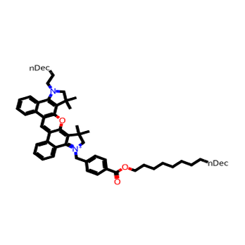 CCCCCCCCCCCCCCCCCCOC(=O)c1ccc(C[N+]2=c3c(c4c(c5ccccc35)=Cc3c(c5c(c6ccccc36)N(CCCCCCCCCCCC)CC5(C)C)O4)C(C)(C)C2)cc1